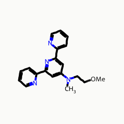 COCCN(C)c1cc(-c2ccccn2)nc(-c2ccccn2)c1